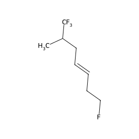 CC(CC=CCCF)C(F)(F)F